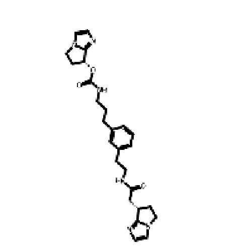 O=C(C[C@@H]1CCn2ccnc21)NCCc1cccc(CCCNC(=O)O[C@@H]2CCn3ccnc32)c1